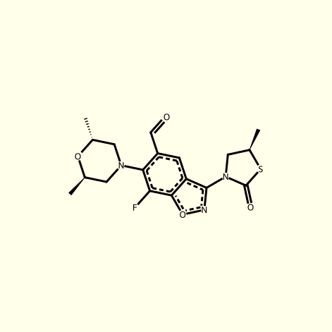 C[C@@H]1CN(c2c(C=O)cc3c(N4C[C@@H](C)SC4=O)noc3c2F)C[C@@H](C)O1